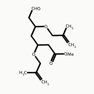 C=C(C)COC(CC=O)CC(CC(=O)OC)OCC(=C)C